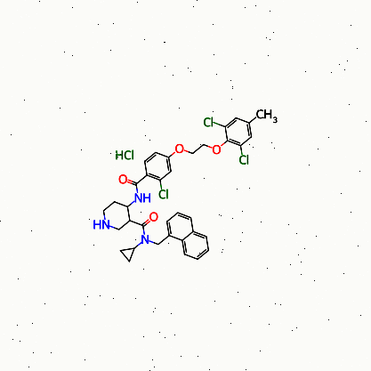 Cc1cc(Cl)c(OCCOc2ccc(C(=O)NC3CCNCC3C(=O)N(Cc3cccc4ccccc34)C3CC3)c(Cl)c2)c(Cl)c1.Cl